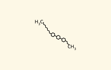 CCCCCCCCCC1CCC(C2CCC(C3CCC(CCCC)CC3)CC2)CC1